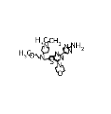 COCCN(Cc1cc2nc(-c3cnc(N)nc3)nc(N3CCOCC3)c2s1)C1CCN(C(C)C)CC1